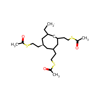 [CH2]CC1CC(CCSC(C)=O)CC(CCSC(C)=O)C[C@@H](CCSC(C)=O)C1